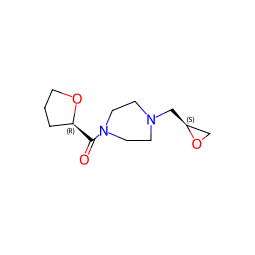 O=C([C@H]1CCCO1)N1CCN(C[C@H]2CO2)CC1